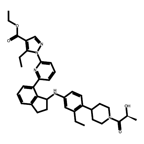 CCOC(=O)c1cnn(-c2cccc(-c3cccc4c3C(Nc3ccc(C5CCN(C(=O)[C@H](C)O)CC5)c(CC)c3)CC4)n2)c1CC